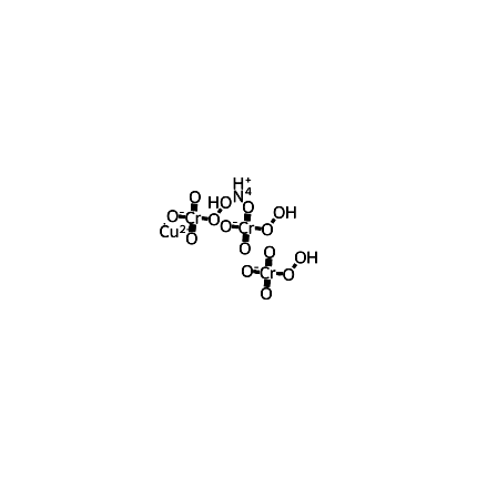 [Cu+2].[NH4+].[O]=[Cr](=[O])([O-])[O]O.[O]=[Cr](=[O])([O-])[O]O.[O]=[Cr](=[O])([O-])[O]O